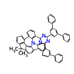 CC1(C)c2cccc3c2-c2c1ccc1c4ccccc4n(c21)-c1c(-c2nc(-c4cccc(-c5ccccc5)c4)nc(-c4cc(-c5ccccc5)cc(-c5ccccc5)c4)n2)cccc1-3